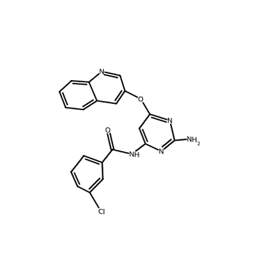 Nc1nc(NC(=O)c2cccc(Cl)c2)cc(Oc2cnc3ccccc3c2)n1